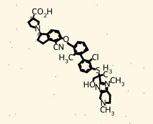 Cc1c(COc2ccc3c(c2C#N)CC[C@H]3N2CC[C@@H](C(=O)O)C2)cccc1-c1cccc(SC(C)(CO)c2nc3c(n2C)CCN(C)C3)c1Cl